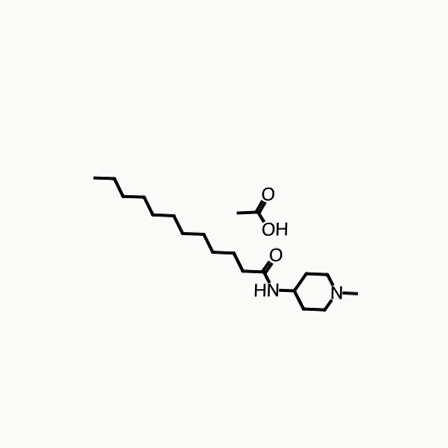 CC(=O)O.CCCCCCCCCCCC(=O)NC1CCN(C)CC1